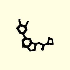 Cc1cc(-c2cnc3c(c2)N(CC(=O)N2CCC2)CC3)ccc1F